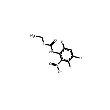 CCOC(=O)Nc1c(F)cc(Cl)c(F)c1[N+](=O)[O-]